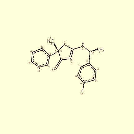 C[C@H](NC1=NC(=O)[C@](C)(c2cccnc2)S1)c1ccc(F)cc1